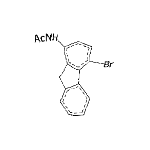 CC(=O)Nc1ccc(Br)c2c1Cc1ccccc1-2